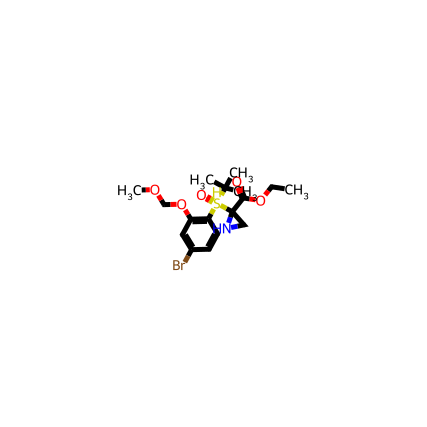 CCOC(=O)C1([SH](=O)(c2ccc(Br)cc2OCOC)C(C)(C)C)CN1